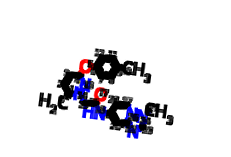 C=C1C=CC(Oc2ccc(C)cc2)=NN1CC(=O)NC1=CC2=NCN(C)N2C=C1